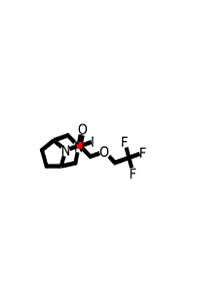 O=C(COCC(F)(F)F)N1C2CCC1CN(I)C2